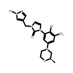 CCn1cc(Cn2ccn(-c3cc(N4CCO[C@H](C)C4)cc(C(F)(F)F)c3Cl)c2=O)cn1